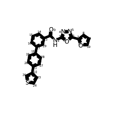 O=C(Nc1nnc(-c2ccco2)o1)c1cccc(-c2ccc(-c3ccsc3)cc2)c1